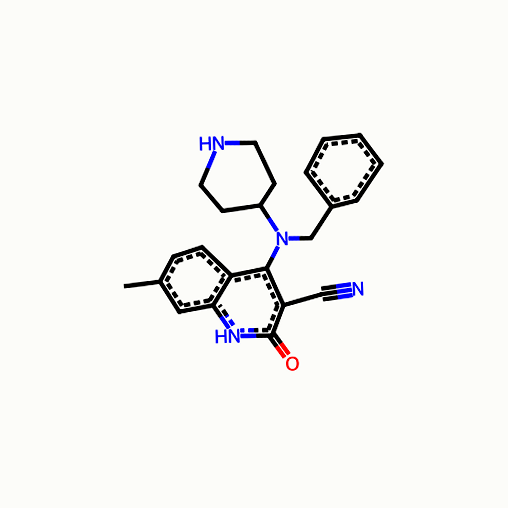 Cc1ccc2c(N(Cc3ccccc3)C3CCNCC3)c(C#N)c(=O)[nH]c2c1